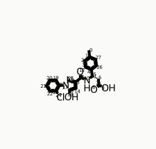 Cc1ccc([C@H](CC(=O)O)NC(=O)c2cc(O)n(-c3ccccc3Cl)n2)cc1